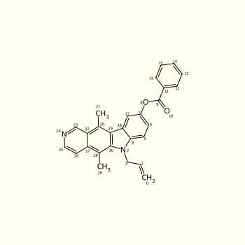 C=CCn1c2ccc(OC(=O)c3ccccc3)cc2c2c(C)c3cnccc3c(C)c21